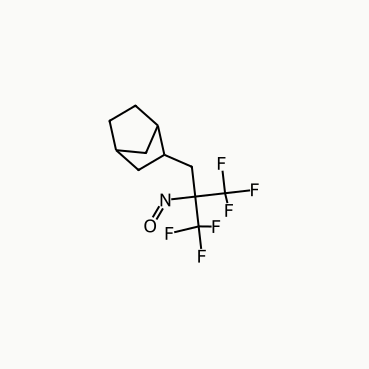 O=NC(CC1CC2CCC1C2)(C(F)(F)F)C(F)(F)F